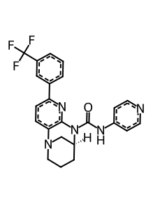 O=C(Nc1ccncc1)N1c2nc(-c3cccc(C(F)(F)F)c3)ccc2N2CCC[C@H]1C2